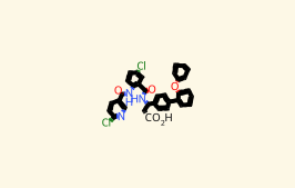 O=C(O)CC(NC(=O)c1cc(Cl)ccc1NC(=O)c1ccc(Cl)nc1)c1ccc(-c2ccccc2Oc2ccccc2)cc1